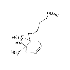 CCCCCCCCCCCCCCC1(C(=O)O)CC=CCC1(C(=O)O)C(C)CC